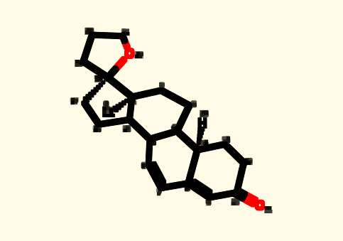 CC[C@]12CCC3C(C=CC4=CC(=O)CC[C@@H]43)C1CC[C@@]21CCCO1